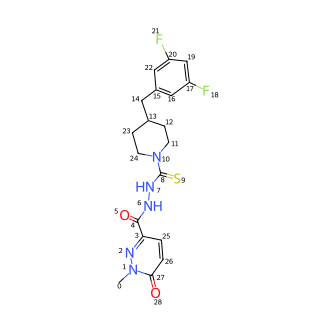 Cn1nc(C(=O)NNC(=S)N2CCC(Cc3cc(F)cc(F)c3)CC2)ccc1=O